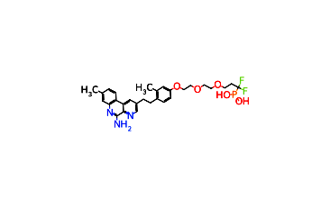 Cc1ccc2c(c1)nc(N)c1ncc(CCc3ccc(OCCOCCOCCC(F)(F)P(O)O)cc3C)cc12